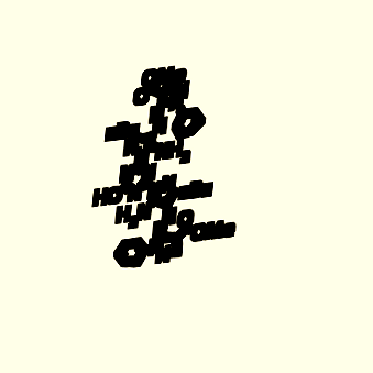 CCCCc1nn(-c2nc(O)nc(-n3nc(CCCC)c(/N=N/c4c(C(=O)OC)cnn4-c4ccccc4)c3N)n2)c(N)c1/N=N/c1c(C(=O)OC)cnn1-c1ccccc1